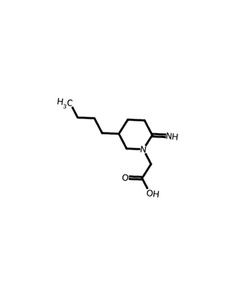 CCCCC1CCC(=N)N(CC(=O)O)C1